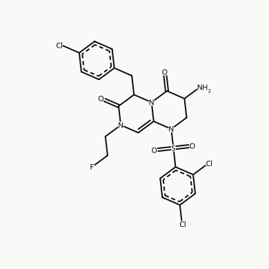 NC1CN(S(=O)(=O)c2ccc(Cl)cc2Cl)C2=CN(CCF)C(=O)C(Cc3ccc(Cl)cc3)N2C1=O